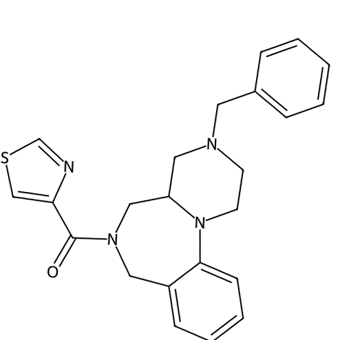 O=C(c1cscn1)N1Cc2ccccc2N2CCN(Cc3ccccc3)CC2C1